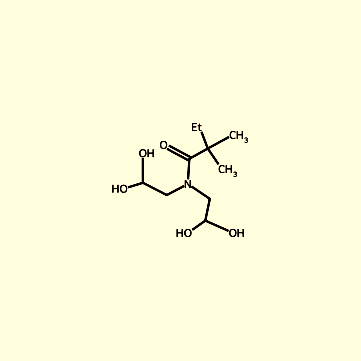 CCC(C)(C)C(=O)N(CC(O)O)CC(O)O